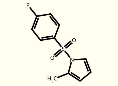 Cc1cccn1S(=O)(=O)c1ccc(F)cc1